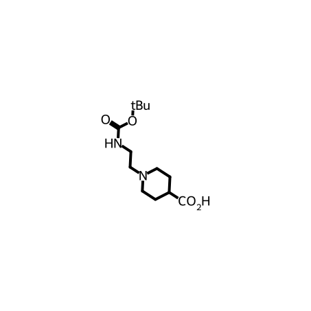 CC(C)(C)OC(=O)NCCN1CCC(C(=O)O)CC1